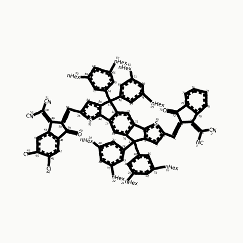 [C-]#[N+]/C(C#N)=C1\C(=C\c2cc3c(s2)-c2cc4c(cc2C3(c2cc(CCCCCC)cc(CCCCCC)c2)c2cc(CCCCCC)cc(CCCCCC)c2)-c2sc(/C=C3\C(=O)c5cc(Cl)c(Cl)cc5\C3=C(\C#N)[N+]#[C-])cc2C4(c2cc(CCCCCC)cc(CCCCCC)c2)c2cc(CCCCCC)cc(CCCCCC)c2)C(=O)c2ccccc21